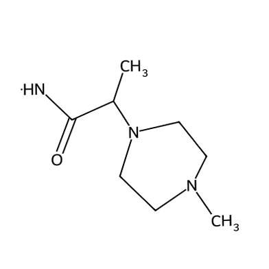 CC(C([NH])=O)N1CCN(C)CC1